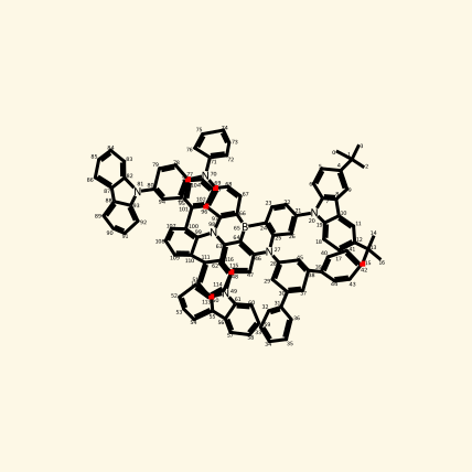 CC(C)(C)c1ccc2c(c1)c1cc(C(C)(C)C)ccc1n2-c1ccc2c(c1)N(c1cc(-c3ccccc3)cc(-c3ccccc3)c1)c1cc(-n3c4ccccc4c4ccccc43)cc3c1B2c1ccc(N(c2ccccc2)c2ccc(-n4c5ccccc5c5ccccc54)cc2)cc1N3c1c(-c2ccccc2)cccc1-c1ccccc1